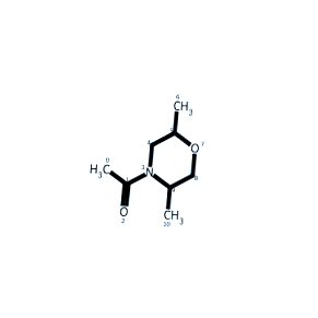 CC(=O)N1CC(C)OCC1C